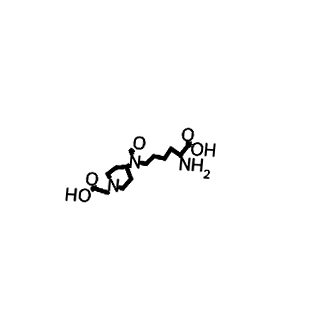 NC(CCCCN(C=O)C1CCN(CC(=O)O)CC1)C(=O)O